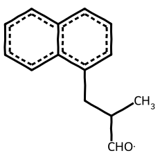 CC([C]=O)Cc1cccc2ccccc12